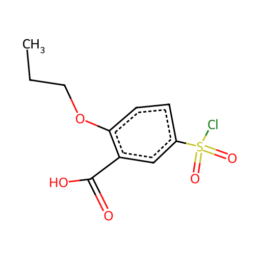 CCCOc1ccc(S(=O)(=O)Cl)cc1C(=O)O